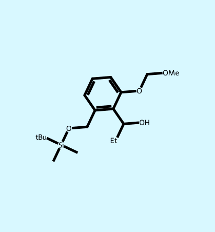 CCC(O)c1c(CO[Si](C)(C)C(C)(C)C)cccc1OCOC